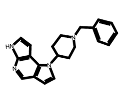 c1ccc(CN2CCC(n3ccc4cnc5[nH]ccc5c43)CC2)cc1